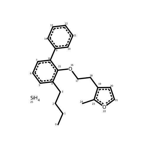 CCCCc1cccc(-c2ccccc2)c1OCCc1ccoc1C.[SiH4]